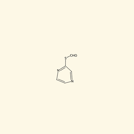 O=CSc1cnccn1